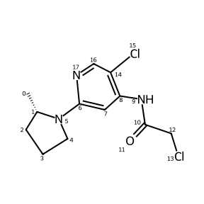 C[C@H]1CCCN1c1cc(NC(=O)CCl)c(Cl)cn1